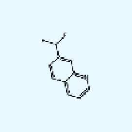 FC(F)c1ccc2cccnc2c1